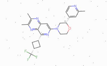 Cc1cc([C@H]2CN(c3cc4nc(C)c(C)nc4c([C@H]4C[C@@H](C(F)(F)F)C4)n3)CCO2)ccn1